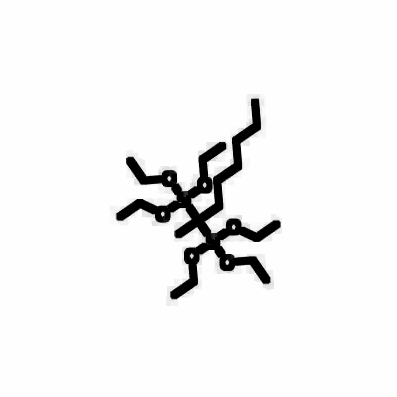 CCCCCCC(C)([Si](OCC)(OCC)OCC)[Si](OCC)(OCC)OCC